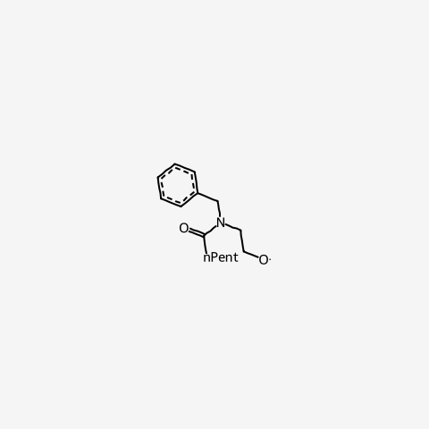 CCCCCC(=O)N(CC[O])Cc1ccccc1